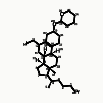 CC(C)CCC[C@@H](C)[C@H]1CC[C@H]2[C@@H]3CC(CI)C4=C(CC[C@H](OC5CCCCO5)C4)[C@H]3CC[C@]12C